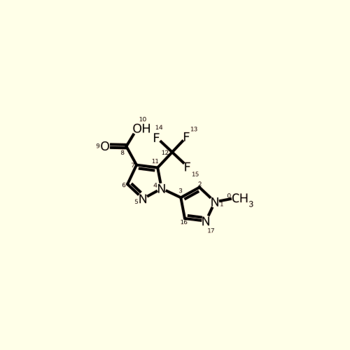 Cn1cc(-n2ncc(C(=O)O)c2C(F)(F)F)cn1